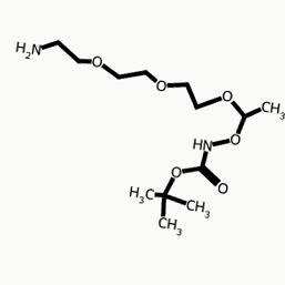 CC(OCCOCCOCCN)ONC(=O)OC(C)(C)C